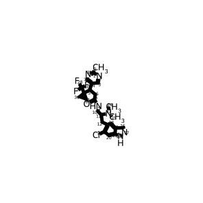 Cc1ncc(C(CC(=O)NCC(Cc2cc3cn[nH]c3cc2Cl)N(C)C)C2(C(F)(F)F)CC2)cn1